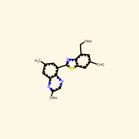 COCc1cc(C=O)cc2sc(-c3cc(C)cc4nc(OC)cnc34)nc12